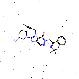 CC#CCn1c(N2CCCC(N)C2)nc2cnn(CC3=NC(C)(C)Cc4ccccc43)c(=O)c21